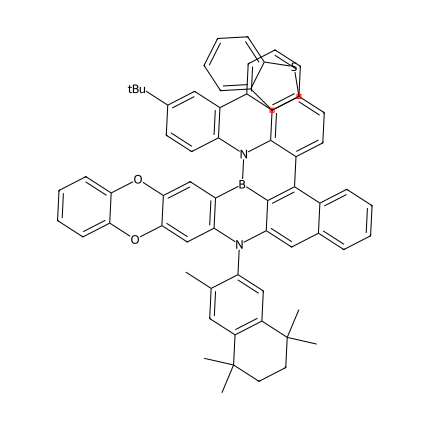 Cc1cc2c(cc1N1c3cc4c(cc3B3c5c1cc1ccccc1c5-c1ccc5sc6ccccc6c5c1N3c1ccc(C(C)(C)C)cc1-c1ccccc1)Oc1ccccc1O4)C(C)(C)CCC2(C)C